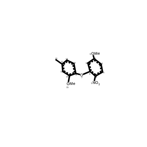 COc1ccc([N+](=O)[O-])c(Oc2ccc(C)cc2OC)c1